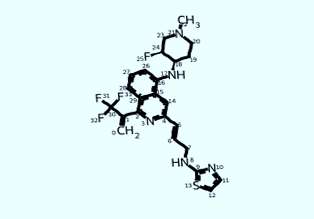 C=C(c1nc(/C=C/CNc2nccs2)cc2c(N[C@@H]3CCN(C)C[C@@H]3F)cccc12)C(F)(F)F